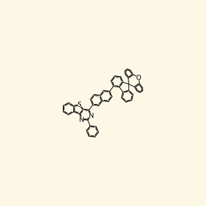 c1ccc(-c2nc(-c3ccc4cc(-c5cccc6c5-c5ccccc5C65c6ccccc6Oc6ccccc65)ccc4c3)c3sc4ccccc4c3n2)cc1